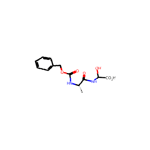 C[C@H](NC(=O)OCc1ccccc1)C(=O)NC(O)C(=O)O